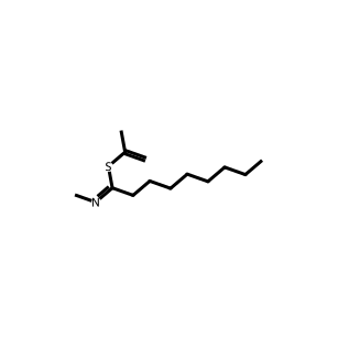 C=C(C)S/C(CCCCCCCC)=N\C